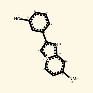 CNc1ccn2cc(-c3cccc(O)c3)nc2c1